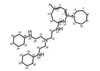 C/C1=C/C=C(N2CCCCCC2)\N=C(\NCCN(CCNC2CCCCC2)CCNC2CCCCC2)CC1